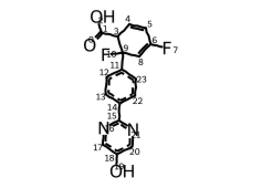 O=C(O)C1C=CC(F)=CC1(F)c1ccc(-c2ncc(O)cn2)cc1